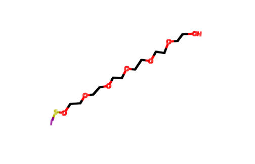 OCCOCCOCCOCCOCCOCCOSI